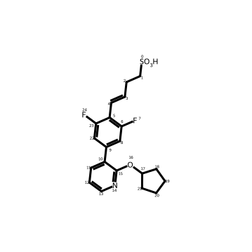 O=S(=O)(O)CC/C=C/c1c(F)cc(-c2cccnc2OC2CCCC2)cc1F